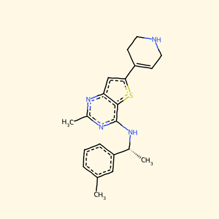 Cc1cccc([C@@H](C)Nc2nc(C)nc3cc(C4=CCNCC4)sc23)c1